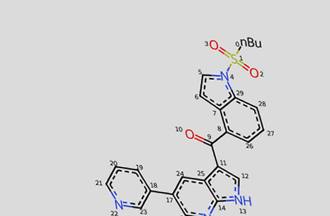 CCCCS(=O)(=O)n1ccc2c(C(=O)c3c[nH]c4ncc(-c5cccnc5)cc34)cccc21